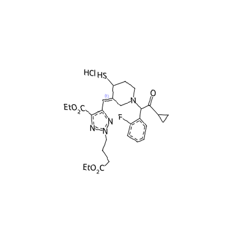 CCOC(=O)CCCn1nc(/C=C2\CN(C(C(=O)C3CC3)c3ccccc3F)CCC2S)c(C(=O)OCC)n1.Cl